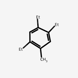 CCc1cc(CC)c(CC)cc1C